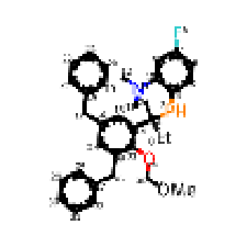 CCC(C)(Pc1ccc(F)cc1N(C)C)c1cc(Cc2ccccc2)cc(Cc2ccccc2)c1OCOC